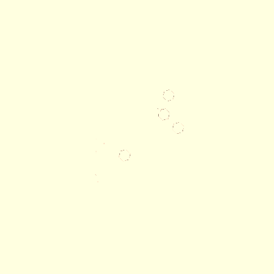 CC(C)(O)CCc1c(CCCCCCOc2cc(-c3ccccc3)cc(-c3ccccc3)n2)cccc1OCCCC(=O)O